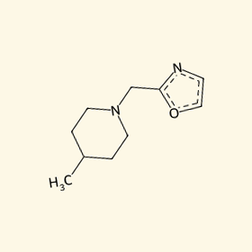 CC1CCN(Cc2ncco2)CC1